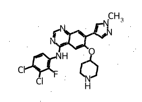 Cn1cc(-c2cc3ncnc(Nc4ccc(Cl)c(Cl)c4F)c3cc2OC2CCNCC2)cn1